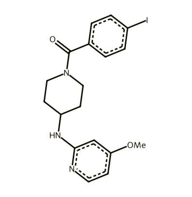 COc1ccnc(NC2CCN(C(=O)c3ccc(I)cc3)CC2)c1